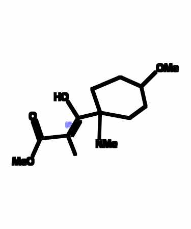 CNC1(/C(O)=C(\C)C(=O)OC)CCC(OC)CC1